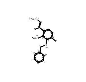 CCOC(=O)/C=C(\C)c1ccc(C)c(OCc2ccccc2)c1OC